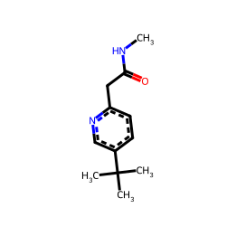 CNC(=O)Cc1ccc(C(C)(C)C)cn1